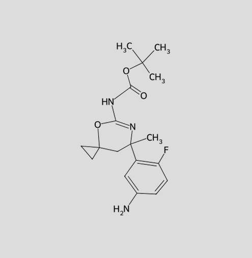 CC(C)(C)OC(=O)NC1=NC(C)(c2cc(N)ccc2F)CC2(CC2)O1